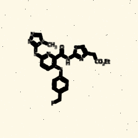 CCOC(=O)Cc1csc(NC(=O)c2nc(Sc3nncn3C)ccc2Sc2ccc(CF)cc2)n1